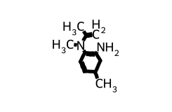 C=C(C)N(C)C1=C(N)CC(C)C=C1